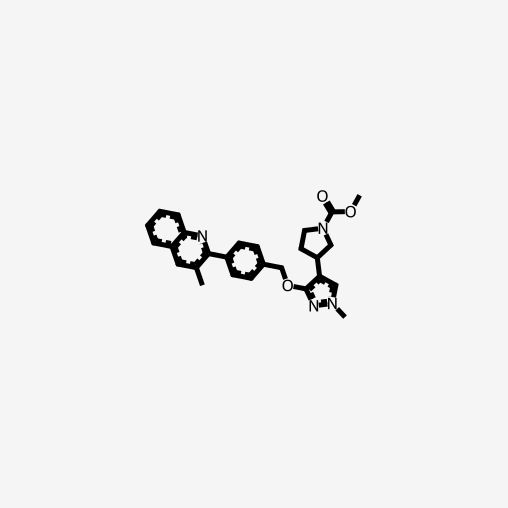 COC(=O)N1CCC(c2cn(C)nc2OCc2ccc(-c3nc4ccccc4cc3C)cc2)C1